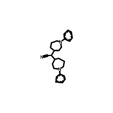 N#CC(C1CCCN(c2ccccc2)CC1)C1CCCN(c2ccccc2)CC1